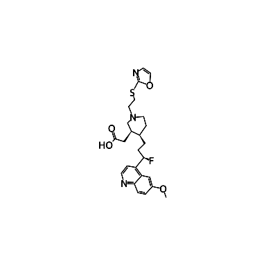 COc1ccc2nccc([C@H](F)CC[C@@H]3CCN(CCSc4ncco4)C[C@@H]3CC(=O)O)c2c1